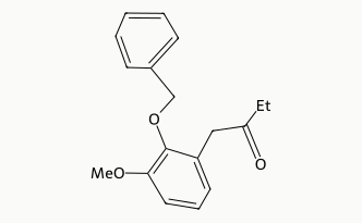 CCC(=O)Cc1cccc(OC)c1OCc1ccccc1